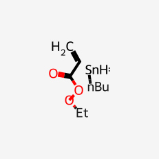 C=CC(=O)OOCC.CCC[CH2][SnH]